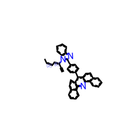 C#C/C(=C\C=C/C)n1c(-c2ccc(-c3c4ccc5ccccc5c4nc4c3ccc3ccccc34)cc2)nc2ccccc21